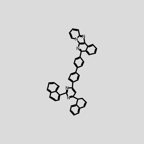 C1=Cc2ccccc2C(c2cc(-c3ccc(-c4ccc(-c5nc6c(nc7ccccn76)c6ccccc56)cc4)cc3)nc(-c3cccc4ccccc34)n2)C1